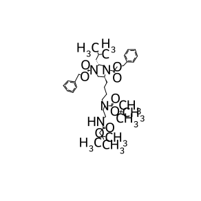 CC(C)C[C@@H]1CN(C(=O)OCc2ccccc2)[C@@H](CCCCN(CCNC(=O)OC(C)(C)C)C(=O)OC(C)(C)C)CN1C(=O)OCc1ccccc1